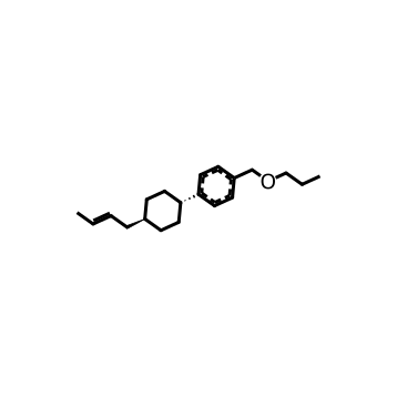 CC=CC[C@H]1CC[C@H](c2ccc(COCCC)cc2)CC1